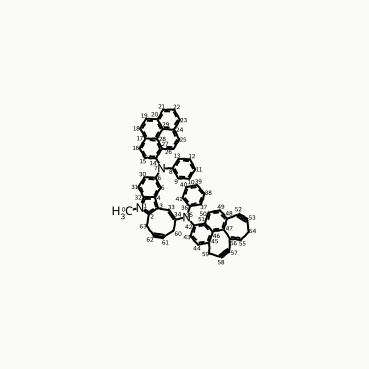 Cn1c2c(c3cc(N(c4ccccc4)c4ccc5ccc6cccc7ccc4c5c67)ccc31)/C=C(/N(c1ccccc1)c1ccc3c4c5c(ccc14)C#CCC=C5C#CC3)CC#CC2